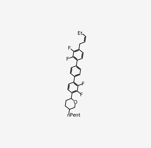 CC/C=C\Cc1ccc(-c2ccc(-c3ccc(C4CCC(CCCCC)CO4)c(F)c3F)cc2)c(F)c1F